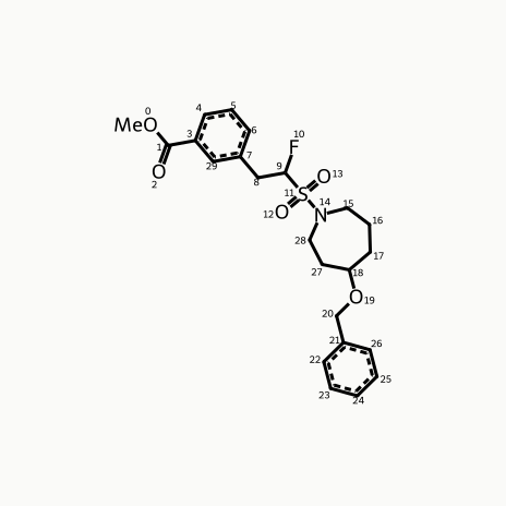 COC(=O)c1cccc(CC(F)S(=O)(=O)N2CCCC(OCc3ccccc3)CC2)c1